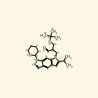 CC(C)c1cc2cc3cnn(C4CCCCO4)c3cc2n1CC(C=O)COC(C)(C)C